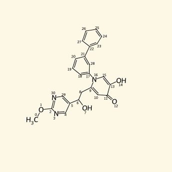 COc1ncc(C(O)Cc2cc(=O)c(O)cn2-c2cccc(-c3ccccc3)c2)cn1